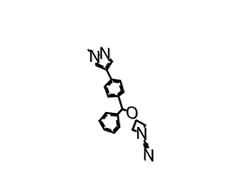 Cn1cc(-c2ccc(C(OC3CN(C#N)C3)c3ccccc3)cc2)cn1